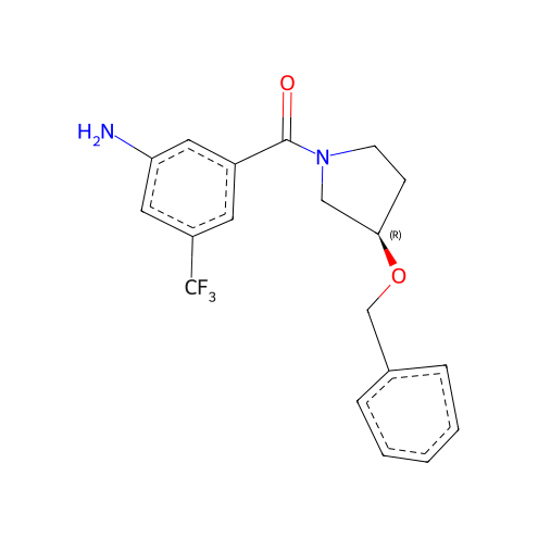 Nc1cc(C(=O)N2CC[C@@H](OCc3ccccc3)C2)cc(C(F)(F)F)c1